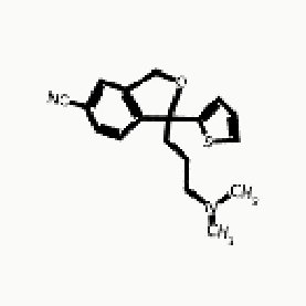 CN(C)CCCC1(c2cccs2)OCc2cc(C#N)ccc21